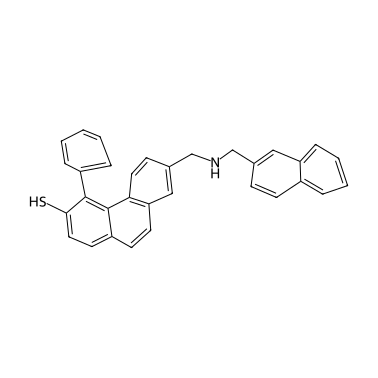 Sc1ccc2ccc3cc(CNCc4ccc5ccccc5c4)ccc3c2c1-c1ccccc1